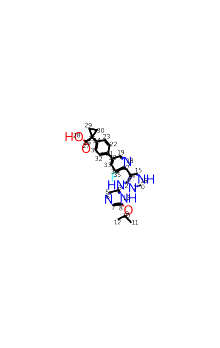 CN/C(Nc1cncc(OC(C)C)n1)=C(\C=N)c1ncc(-c2ccc(C3(C(=O)O)CC3)cc2)cc1F